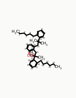 CCCCCCc1ccccc1C(C)(C)Cc1cccc(O)c1CC(C)(C)c1ccccc1CCCCCC